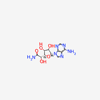 NC(=O)C(O)[C@H]1O[C@@H](n2cnc3c(N)ncnc32)C(O)C1O